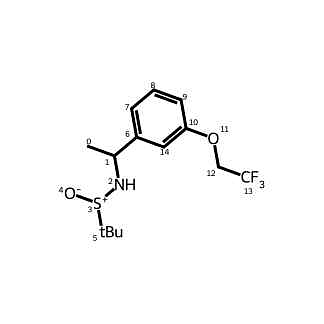 CC(N[S+]([O-])C(C)(C)C)c1cccc(OCC(F)(F)F)c1